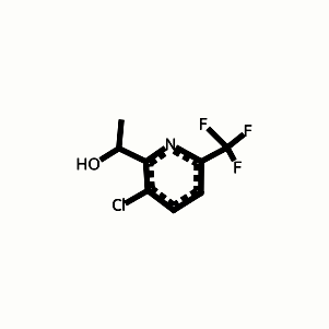 CC(O)c1nc(C(F)(F)F)ccc1Cl